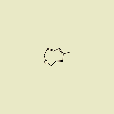 CC1=C/C=C/COC\C=C\1